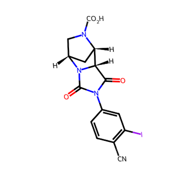 N#Cc1ccc(N2C(=O)[C@H]3[C@@H]4C[C@@H](CN4C(=O)O)N3C2=O)cc1I